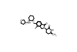 C=C1CCC(N2Cc3c(ccc(C[C@H]4CCCC[C@@H]4N[C@H]4CCOC4)c3F)C2=O)C(=O)N1